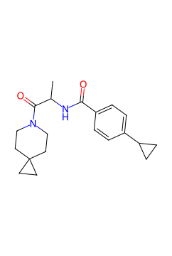 CC(NC(=O)c1ccc(C2CC2)cc1)C(=O)N1CCC2(CC1)CC2